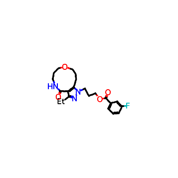 CCc1nn(CCCOC(=O)c2cccc(F)c2)c2c1C(=O)NCCCOCCC2